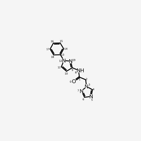 O=C(Cn1cncn1)Nc1ccn(-c2ccccc2)n1